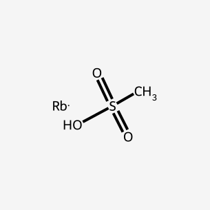 CS(=O)(=O)O.[Rb]